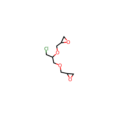 ClCC(COCC1CO1)OCC1CO1